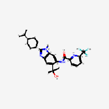 CC(C)[C@H]1CC[C@H](c2nc3cc(C(C)(C)O)c(NC(=O)c4cccc(C(F)(F)F)n4)cc3n2C)CC1